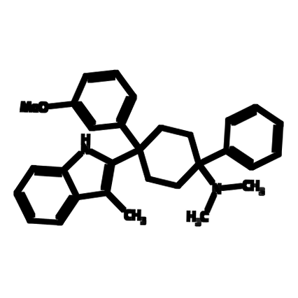 COc1cccc(C2(c3[nH]c4ccccc4c3C)CCC(c3ccccc3)(N(C)C)CC2)c1